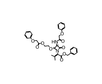 CC(C)=C(C(=O)OCc1ccccc1)N1C(=O)[C@H](NC(=O)COc2ccccc2)[C@H]1OCCOC(=O)COc1ccccc1